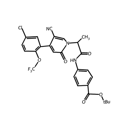 CC(C(=O)Nc1ccc(C(=O)OC(C)(C)C)cc1)n1cc(C#N)c(-c2cc(Cl)ccc2OC(F)(F)F)cc1=O